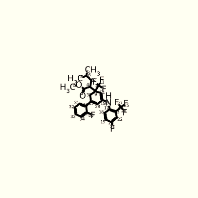 COC(=O)C(CC(C)C)C1(C(F)(F)F)C=C(Nc2ccc(F)cc2C(F)(F)F)C=C(c2ccccc2F)C1